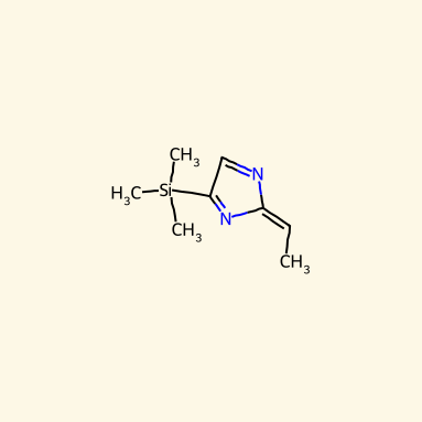 CC=C1N=CC([Si](C)(C)C)=N1